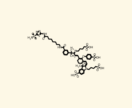 CC(C)(C(/C=C/C1=C(Oc2ccc(S(=O)(=O)O)cc2)C(=C/C=C2/N(CCCCS(=O)(=O)O)c3ccc(S(=O)(=O)O)cc3C2(C)C)/CCC1)=N/CCCCS(=O)(=O)O)c1cccc(C(=O)NCCCCCCCC(=O)Nc2nnc(S(N)(=O)=O)s2)c1